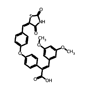 COc1cc(/C=C(/C(=O)O)c2ccc(Oc3ccc(C=C4SC(=O)NC4=O)cc3)cc2)cc(OC)c1